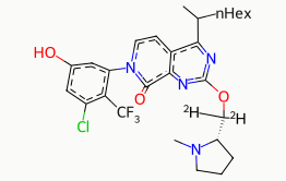 [2H]C([2H])(Oc1nc(C(C)CCCCCC)c2ccn(-c3cc(O)cc(Cl)c3C(F)(F)F)c(=O)c2n1)[C@@H]1CCCN1C